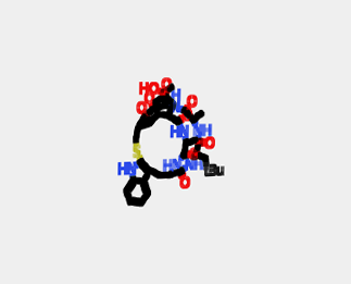 CC1NC(=O)C(CC(C)(C)C)NC(=O)C2Cc3c([nH]c4ccccc34)SCC(CC(=O)C(C(C)O)NC1=O)C(=O)C1CC(=O)CC1C(=O)NC(C)C(=O)N2